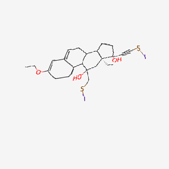 CCOC1=CC2=CCC3C(C2CC1)C(O)(CSI)C[C@@]1(CC)C3CC[C@@]1(O)C#CSI